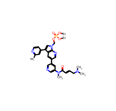 CCOP(=O)(OCC)OCn1cc(-c2ccnc(C#N)c2)c2cc(-c3cncc(N(C)C(=O)/C=C/CN(C)C)c3)cnc21